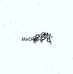 COCCS(=O)(=O)Nc1cccc(Oc2cc(F)cc(Nc3ccc(I)cc3F)c2C(N)=O)c1